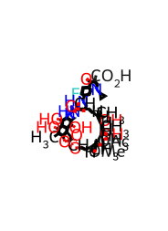 CO[C@H]1/C=C/O[C@@]2(C)Oc3c(C)c(O)c4c(O)c(c(CN[C@H]5CCN(c6cc7c(cc6F)c(=O)c(C(=O)O)cn7C6CC6)C5)c(O)c4c3C2=O)NC(=O)/C(C)=C\C=C\[C@H](C)[C@H](O)[C@@H](C)[C@@H](O)[C@@H](C)[C@H](OC(C)=O)[C@@H]1C